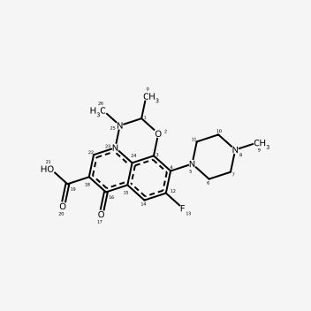 CC1Oc2c(N3CCN(C)CC3)c(F)cc3c(=O)c(C(=O)O)cn(c23)N1C